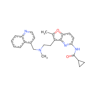 Cc1oc2ccc(NC(=O)C3CC3)nc2c1CCN(C)Cc1ccnc2ccccc12